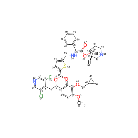 COc1ccc(C(Cc2c(Cl)cncc2Cl)OC(=O)c2ccc(CNC(C(=O)O[C@H]3CN4CCC3CC4)c3ccccc3)s2)cc1OCC1CC1